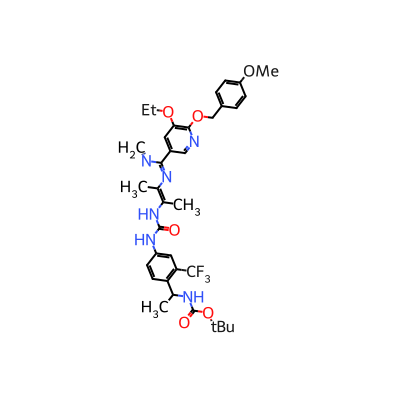 C=N/C(=N\C(C)=C(/C)NC(=O)Nc1ccc(C(C)NC(=O)OC(C)(C)C)c(C(F)(F)F)c1)c1cnc(OCc2ccc(OC)cc2)c(OCC)c1